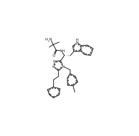 Cc1ccc(Cn2c(CCc3ccccc3)nnc2[C@@H](Cc2c[nH]c3ccccc23)NC(=O)C(C)(C)N)cc1